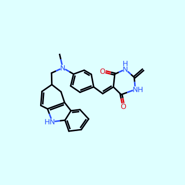 C=c1[nH]c(=O)c(=Cc2ccc(N(C)CC3C=Cc4[nH]c5ccccc5c4C3)cc2)c(=O)[nH]1